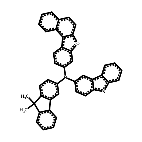 CC1(C)c2ccccc2-c2cc(N(c3ccc4c(c3)oc3ccc5ccccc5c34)c3ccc4sc5ccccc5c4c3)ccc21